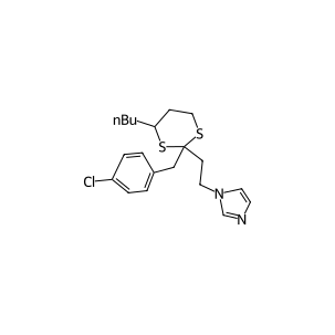 CCCCC1CCSC(CCn2ccnc2)(Cc2ccc(Cl)cc2)S1